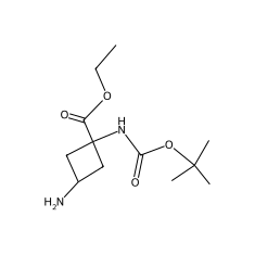 CCOC(=O)C1(NC(=O)OC(C)(C)C)CC(N)C1